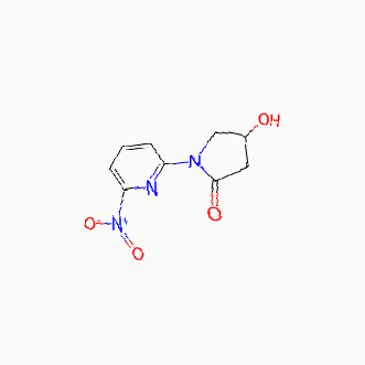 O=C1CC(O)CN1c1cccc([N+](=O)[O-])n1